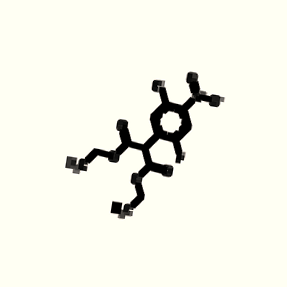 CCOC(=O)C(C(=O)OCC)c1cc(Cl)c([N+](=O)[O-])cc1F